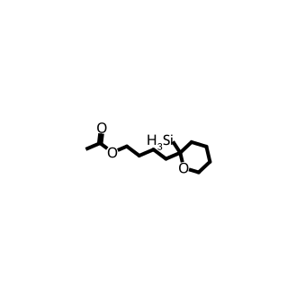 CC(=O)OCCCCC1([SiH3])CCCCO1